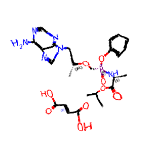 CC(C)OC(=O)[C@H](C)N[P@](=O)(CO[C@H](C)Cn1cnc2c(N)ncnc21)Oc1ccccc1.O=C(O)/C=C/C(=O)O